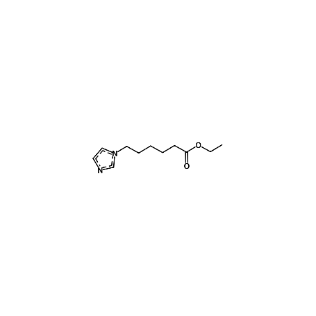 CCOC(=O)CCCCCn1ccnc1